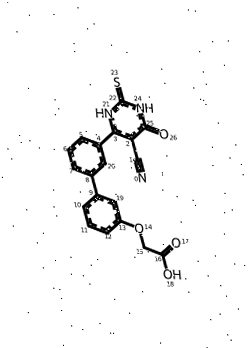 N#Cc1c(-c2cccc(-c3cccc(OCC(=O)O)c3)c2)[nH]c(=S)[nH]c1=O